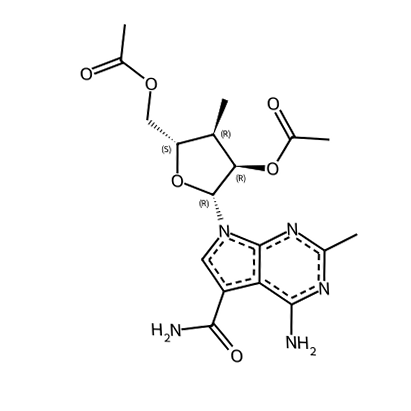 CC(=O)OC[C@H]1O[C@@H](n2cc(C(N)=O)c3c(N)nc(C)nc32)[C@H](OC(C)=O)[C@@H]1C